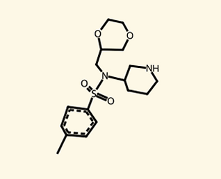 Cc1ccc(S(=O)(=O)N(CC2COCCO2)C2CCCNC2)cc1